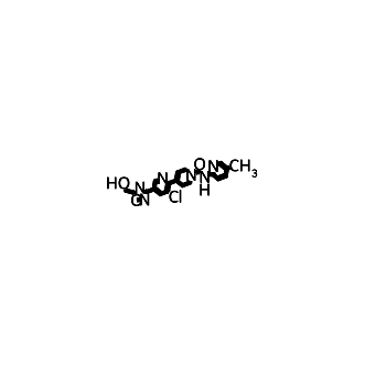 Cc1ccc(NC(=O)N2CC=C(c3ncc(-c4noc(CO)n4)cc3Cl)CC2)nc1